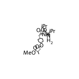 C=C(CC(=O)Oc1ccc(C[C@H](NC(=O)[C@@H](N)C(C)C)C(=O)OC(C)C)cc1)C(=O)OC